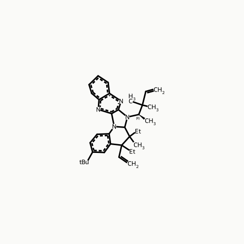 C=CC(C)(C)[C@@H](C)N1c2nc3ccccc3nc2N2c3ccc(C(C)(C)C)cc3C(C=C)(CC)C(C)(CC)C21